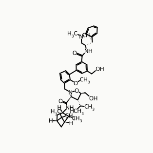 COc1c(CN2O[C@@H](CO)[C@H](C(C)C)[C@H]2C(=O)N[C@H]2C[C@H]3C[C@@H]([C@@H]2C)C3(C)C)cccc1-c1cc(CO)cc(C(=O)N[C@@H](Cc2ccccc2)CN(C)C)c1